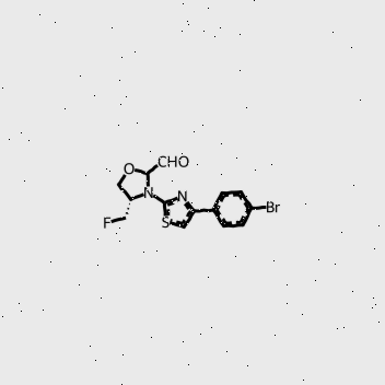 O=CC1OC[C@@H](CF)N1c1nc(-c2ccc(Br)cc2)cs1